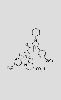 COc1ccc([C@@H]2CN(C3CCCCC3)C[C@@]2(F)C(=O)N2C[C@@H]3c4ccc(C(F)(F)F)cc4N4CCC(C(=O)O)CC4[C@H]3C2)cc1